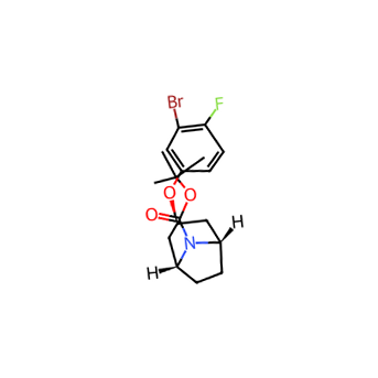 CC(C)(C)OC(=O)N1[C@@H]2CC[C@H]1C[C@H](Oc1ccc(F)c(Br)c1)C2